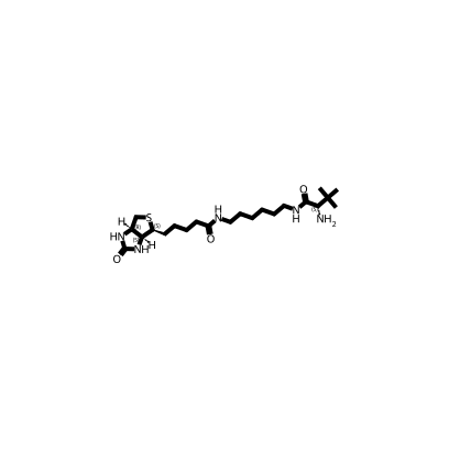 CC(C)(C)[C@H](N)C(=O)NCCCCCCNC(=O)CCCC[C@@H]1SC[C@@H]2NC(=O)N[C@@H]21